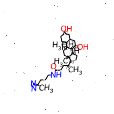 C[C@H](CCC(=O)NCCCC1(C)N=N1)[C@H]1CC[C@H]2[C@@H]3[C@@H](O)CC4C[C@H](O)CC[C@]4(C)[C@H]3CC[C@]12C